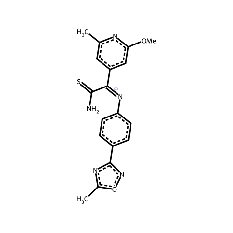 COc1cc(/C(=N/c2ccc(-c3noc(C)n3)cc2)C(N)=S)cc(C)n1